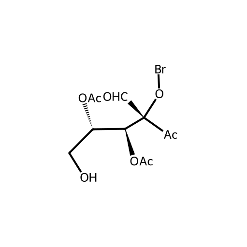 CC(=O)O[C@@H](CO)[C@H](OC(C)=O)[C@](C=O)(OBr)C(C)=O